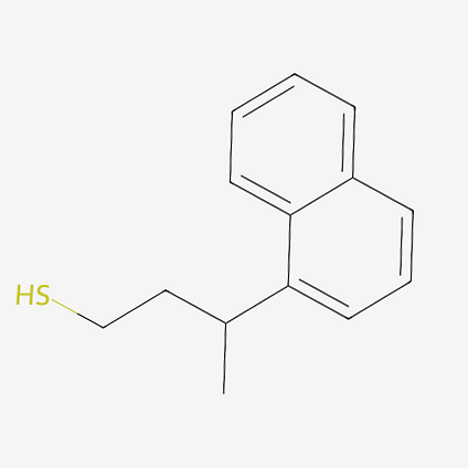 CC(CCS)c1cccc2ccccc12